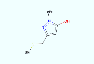 CCCCn1nc(CSC(C)(C)C)cc1O